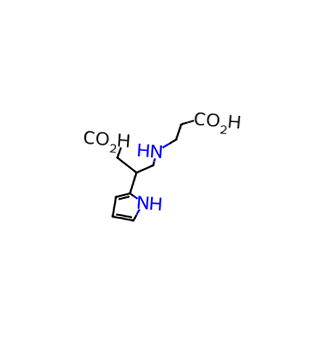 O=C(O)CCNCC(CC(=O)O)c1ccc[nH]1